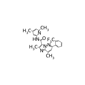 Cc1cc(C)nc(NC(=O)c2c(C)nc3c(C)cc(-c4ccccc4C(F)(F)F)nn23)c1